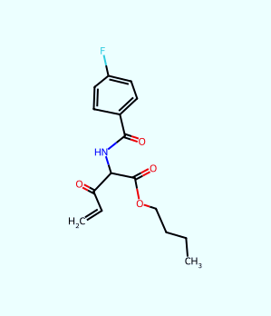 C=CC(=O)C(NC(=O)c1ccc(F)cc1)C(=O)OCCCC